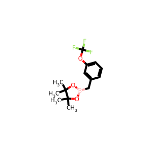 CC1(C)OB(Cc2cccc(OC(F)(F)F)c2)OC1(C)C